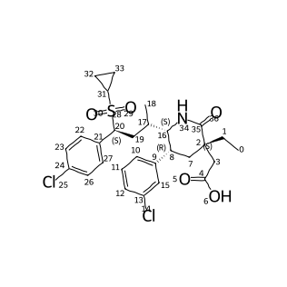 CC[C@@]1(CC(=O)O)C[C@H](c2cccc(Cl)c2)[C@H](C(C)C[C@@H](c2ccc(Cl)cc2)S(=O)(=O)C2CC2)NC1=O